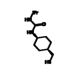 CC(C)NC(=O)N[C@H]1CC[C@@H](CS)CC1